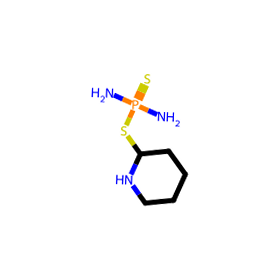 NP(N)(=S)SC1CCCCN1